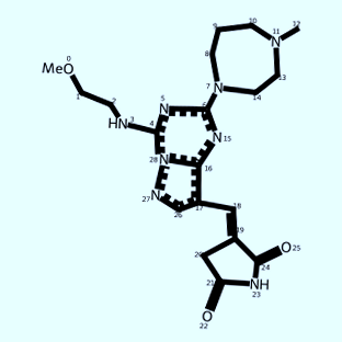 COCCNc1nc(N2CCCN(C)CC2)nc2c(/C=C3\CC(=O)NC3=O)cnn12